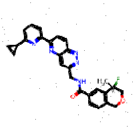 C[C@@]1(F)COCc2ccc(C(=O)NCc3cc4nc(-c5cccc(C6CC6)n5)ccc4nn3)cc21